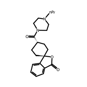 CCCN1CCN(C(=O)[C@H]2CC[C@@]3(CC2)OC(=O)c2ccccc23)CC1